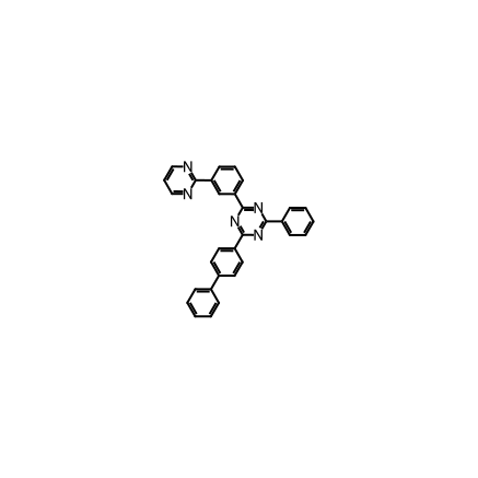 c1ccc(-c2ccc(-c3nc(-c4ccccc4)nc(-c4cccc(-c5ncccn5)c4)n3)cc2)cc1